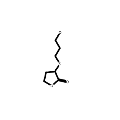 [O]CCCSC1CCOC1=O